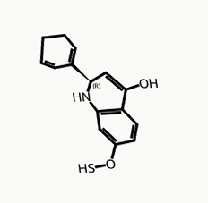 OC1=C[C@H](C2=CCCC=C2)Nc2cc(OS)ccc21